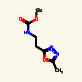 Cc1nnc(CCNC(=O)OC(C)(C)C)o1